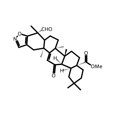 COC(=O)[C@]12CCC(C)(C)C[C@H]1[C@H]1C(=O)C=C3[C@@]4(C)Cc5cnoc5[C@](C)(C=O)C4CC[C@@]3(C)[C@]1(C)CC2